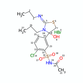 Br.CCCN=C1SCC(O)(c2ccc(Cl)c(S(=O)(=O)NC(C)=O)c2)N1CCC